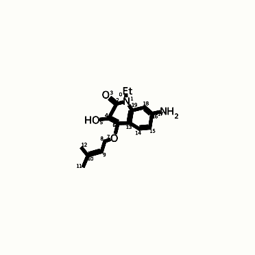 CCn1c(=O)c(O)c(OCC=C(C)C)c2ccc(N)cc21